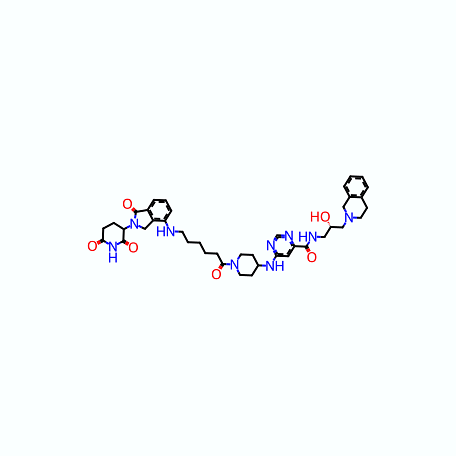 O=C1CCC(N2Cc3c(NCCCCCC(=O)N4CCC(Nc5cc(C(=O)NC[C@H](O)CN6CCc7ccccc7C6)ncn5)CC4)cccc3C2=O)C(=O)N1